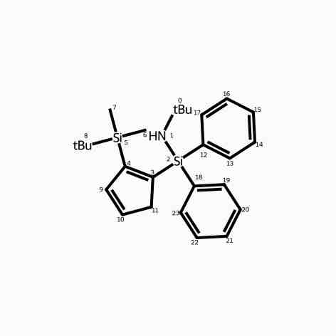 CC(C)(C)N[Si](C1=C([Si](C)(C)C(C)(C)C)C=CC1)(c1ccccc1)c1ccccc1